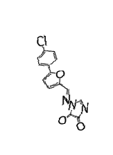 O=C1N=CN(N=Cc2ccc(-c3ccc(Cl)cc3)o2)C1=O